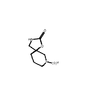 O=C1NCC2(CCCN(C(=O)O)C2)O1